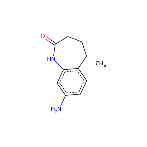 C.Nc1ccc2c(c1)NC(=O)CCC2